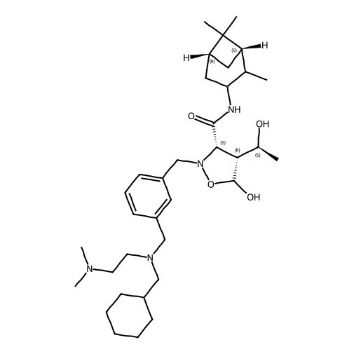 CC1C(NC(=O)[C@@H]2[C@H]([C@H](C)O)C(O)ON2Cc2cccc(CN(CCN(C)C)CC3CCCCC3)c2)C[C@H]2C[C@@H]1C2(C)C